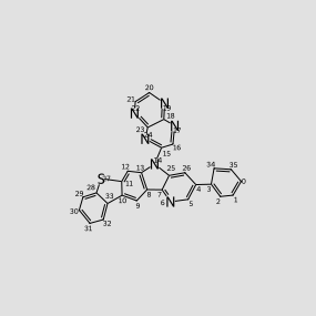 c1ccc(-c2cnc3c4cc5c(cc4n(-c4cnc6nccnc6n4)c3c2)sc2ccccc25)cc1